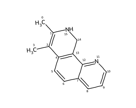 CC1=C(C)c2ccc3cccnc3c2CN1